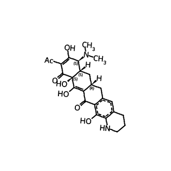 CC(=O)C1=C(O)[C@@H](N(C)C)[C@@H]2C[C@@H]3Cc4cc5c(c(O)c4C(=O)C3=C(O)[C@]2(O)C1=O)NCCC5